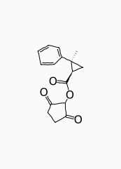 C[C@]1(c2ccccc2)C[C@H]1C(=O)OC1C(=O)CCC1=O